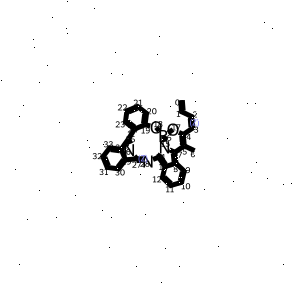 C=C/C=C\C1=C(C)c2c3ccccc3c3n2B(O1)Oc1ccccc1C1=N/C(=N\3)c2ccccc21